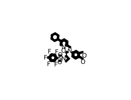 O=C1OCc2cc(N(Cc3ccc(C4CCCCC4)cn3)C(=O)[C@H]3CCN3S(=O)(=O)c3c(F)c(F)c(F)c(F)c3F)ccc21